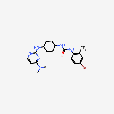 CN(C)c1ccnc(NC2CCC(NC(=O)Nc3ccc(Br)cc3C(F)(F)F)CC2)n1